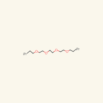 CC(C)CCOCCOCCOCCOCCC(C)C